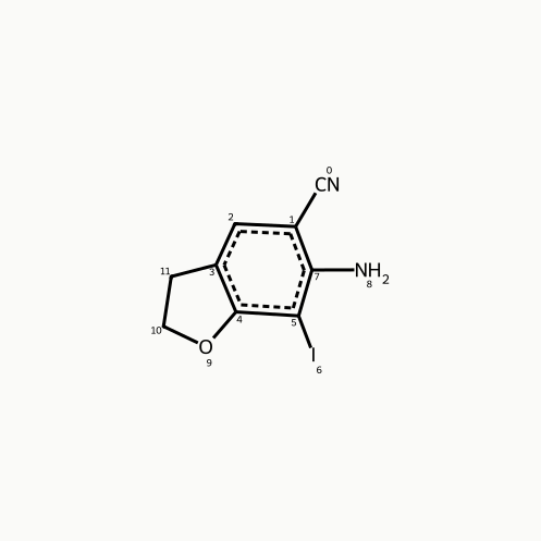 N#Cc1cc2c(c(I)c1N)OCC2